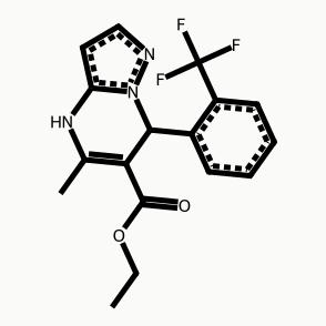 CCOC(=O)C1=C(C)Nc2ccnn2C1c1ccccc1C(F)(F)F